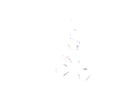 CCOC(=O)Cn1cc(-c2oc3cc(C)ccc3c2C(=O)c2cc(C)c(C)c(OC)c2)cn1